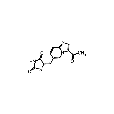 CC(=O)c1cnc2ccc(C=C3SC(=O)NC3=O)cn12